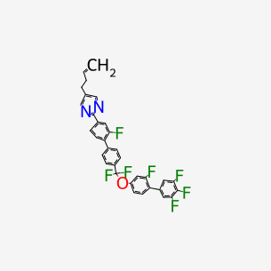 C=CCCc1cnc(-c2ccc(-c3ccc(C(F)(F)Oc4ccc(-c5cc(F)c(F)c(F)c5)c(F)c4)cc3)c(F)c2)nc1